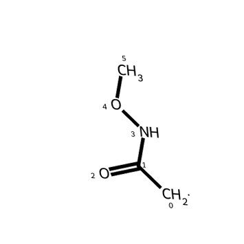 [CH2]C(=O)NOC